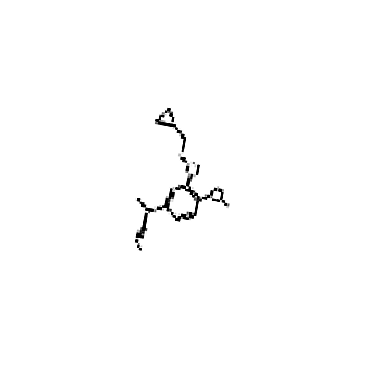 COc1ccc(C(C)C#N)cc1OCCC1CC1